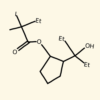 CCC(C)(I)C(=O)OC1CCCC1C(O)(CC)CC